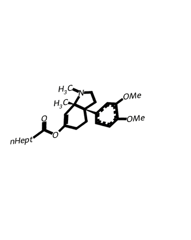 CCCCCCCC(=O)OC1=C[C@]2(C)N(C)CC[C@]2(c2ccc(OC)c(OC)c2)CC1